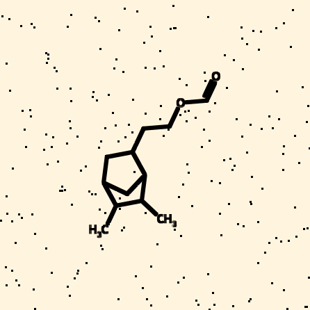 CC1C2CC(CCOC=O)C(C2)C1C